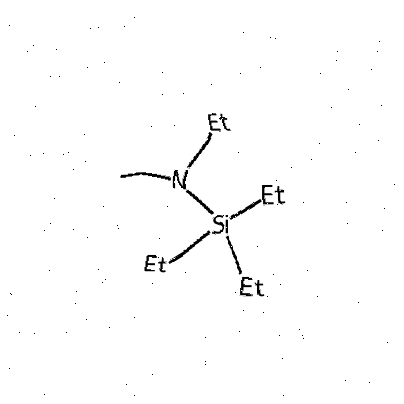 CCN(C)[Si](CC)(CC)CC